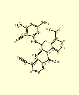 CC(Nc1nc(N)nc(N)c1C#N)c1nc2c(C#N)cccc2c(=O)n1-c1cccc(C(F)F)c1